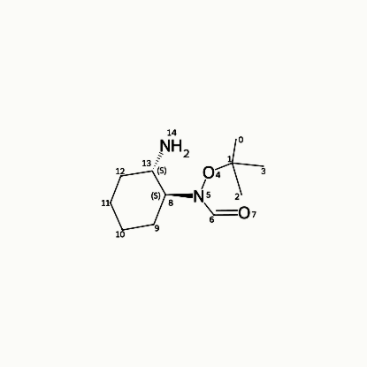 CC(C)(C)ON(C=O)[C@H]1CCCC[C@@H]1N